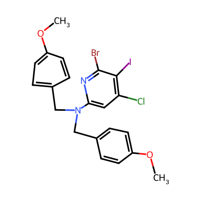 COc1ccc(CN(Cc2ccc(OC)cc2)c2cc(Cl)c(I)c(Br)n2)cc1